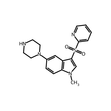 Cn1cc(S(=O)(=O)c2ccccn2)c2cc(N3CCNCC3)ccc21